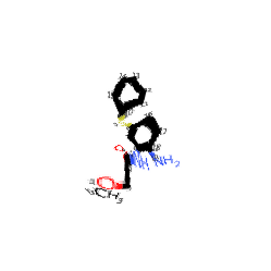 COCC(=O)Nc1cc(Sc2ccccc2)ccc1N